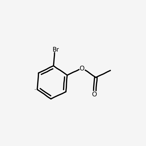 CC(=O)Oc1cc[c]cc1Br